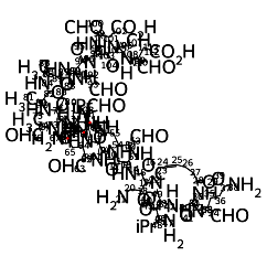 CC(C)C[C@H](C=O)N[C@H](NC(=O)[C@@H](NC(=O)[C@@H](NC(=O)[C@H](C(=O)CN)N1CC=CCCC(=O)N[C@@H](N[C@@H](C=O)CCC(N)=O)C(=O)N[C@@H](C(=O)[C@@H](N)C(C)C)C1=O)N[C@@H](C=O)CCCNC(=N)N)N[C@@H](C=O)CCC(N)=O)C(=O)N[C@@H](N[C@@H](C)C=O)C(=O)N[C@@H](C)C(=O)N[C@@H](C)C(=O)N[C@@H](NCC=O)C(=O)N[C@@H](N[C@@H](C=O)CC(=O)O)C(=O)N[C@H](C)N[C@@H](C=O)CC(=O)O